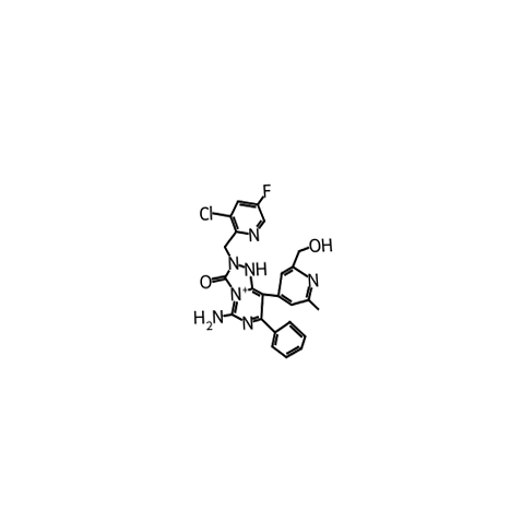 Cc1cc(-c2c(-c3ccccc3)nc(N)[n+]3c(=O)n(Cc4ncc(F)cc4Cl)[nH]c23)cc(CO)n1